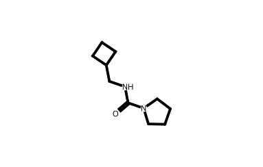 O=C(NCC1CCC1)N1CCCC1